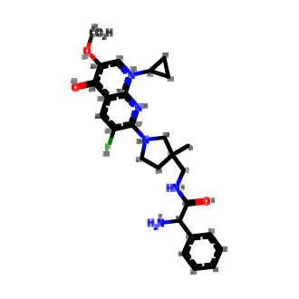 CC1(CNC(=O)C(N)c2ccccc2)CCN(c2nc3c(cc2F)c(=O)c(OC(=O)O)cn3C2CC2)C1